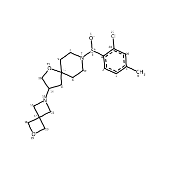 Cc1ccc([S+]([O-])N2CCC3(CC2)CC(N2CC4(COC4)C2)CO3)c(Cl)c1